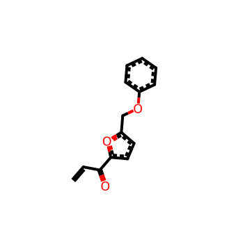 C=CC(=O)c1ccc(COc2ccccc2)o1